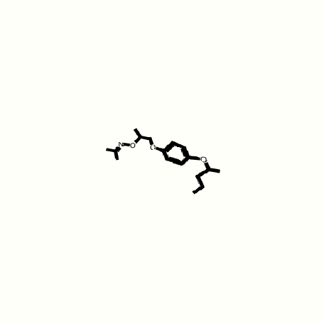 CCCC(C)Oc1ccc(OCC(C)ON=C(C)C)cc1